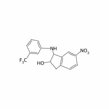 O=[N+]([O-])c1ccc2c(c1)C(Nc1cccc(C(F)(F)F)c1)C(O)C2